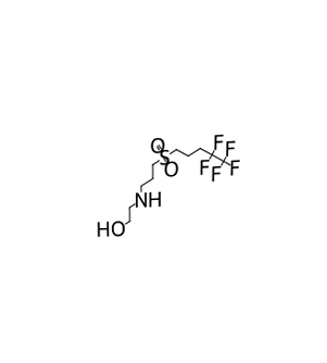 O=S(=O)(CCCNCCO)CCCC(F)(F)C(F)(F)F